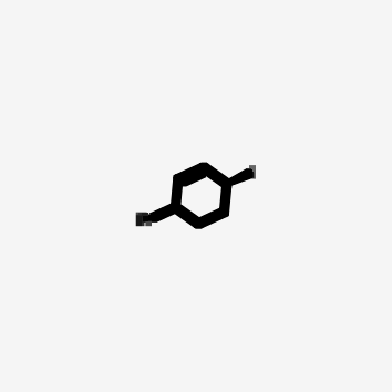 CC(C)C1C=C[C@@H](I)CC1